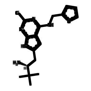 CC(C)(C)[C@H](N)Cc1cc2c(NCc3ccco3)nc(Cl)nc2[nH]1